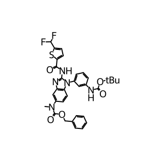 CN(C(=O)OCc1ccccc1)c1ccc2c(c1)nc(NC(=O)c1ccc(C(F)F)s1)n2-c1cccc(NC(=O)OC(C)(C)C)c1